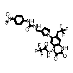 O=C(NCc1ccn(-c2cc3c(cc2CC(F)(F)F)[nH]c(=O)c(=O)n3NC(=O)C(F)(F)F)c1)Nc1ccc([N+](=O)[O-])cc1